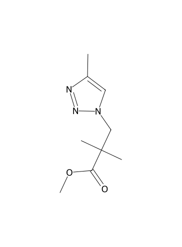 COC(=O)C(C)(C)Cn1cc(C)nn1